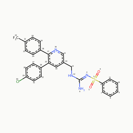 N/C(=N\S(=O)(=O)c1ccccc1)NCc1cnc(-c2ccc(C(F)(F)F)cc2)c(-c2ccc(Cl)cc2)c1